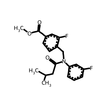 COC(=O)c1ccc(CN(C(=O)CC(C)C)c2cccc(F)c2)c(F)c1